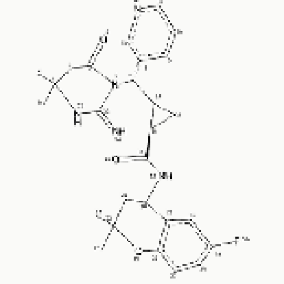 CC1(C)CC(=O)N([C@H](c2cccnc2)C2C[C@H]2C(=O)NC2CC(C)(C)Oc3ccc(F)cc32)C(=N)N1